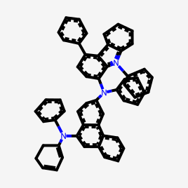 C1=CCCC(N(c2ccccc2)c2cc3ccccc3c3cc(N(c4ccccc4)c4ccc(-c5ccccc5)c5c6ccccc6n(-c6ccccc6)c45)ccc23)=C1